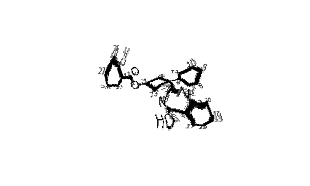 O=C(O[C@H]1C[C@](c2ccccc2)(c2nc(O)c3ccccc3n2)C1)c1ccccc1